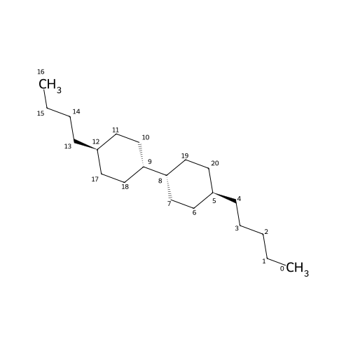 CCCCC[C@H]1CC[C@H]([C@H]2CC[C@H](CCCC)CC2)CC1